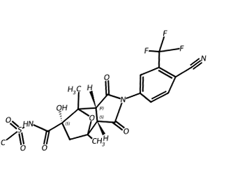 CC12C[C@@](O)(C(=O)NS(C)(=O)=O)C(C)(O1)[C@@H]1C(=O)N(c3ccc(C#N)c(C(F)(F)F)c3)C(=O)[C@@H]12